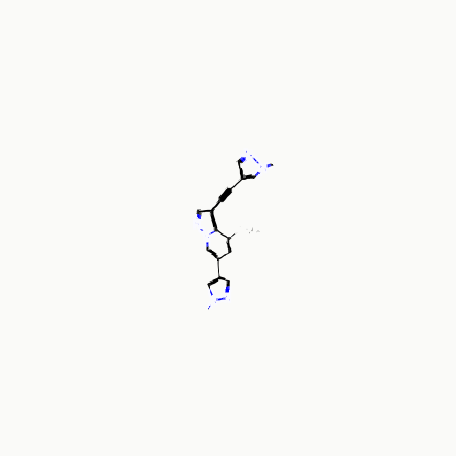 COc1cc(-c2cnn(C)c2)cn2ncc(C#Cc3cnn(C)c3)c12